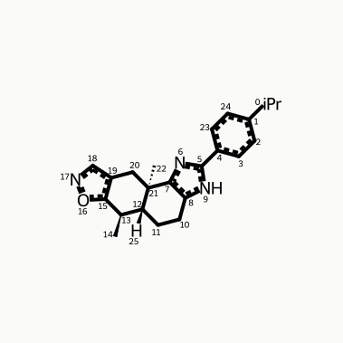 CC(C)c1ccc(-c2nc3c([nH]2)CC[C@@H]2[C@@H](C)c4oncc4C[C@@]32C)cc1